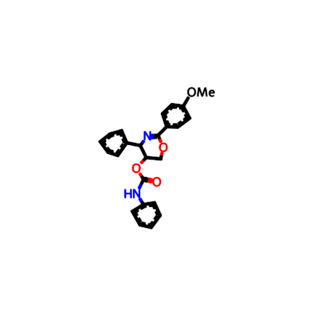 COc1ccc(C2=NC(c3ccccc3)C(OC(=O)Nc3ccccc3)CO2)cc1